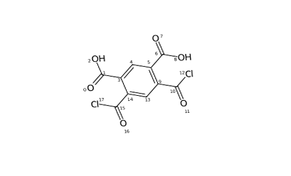 O=C(O)c1cc(C(=O)O)c(C(=O)Cl)cc1C(=O)Cl